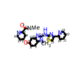 CNC(=O)c1cc(Oc2ccc3c(c2)nc(Nc2nc(-c4ccccn4)cs2)n3C)ccn1